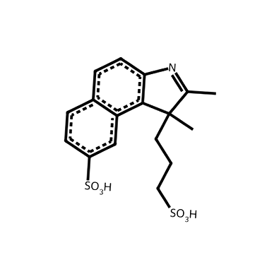 CC1=Nc2ccc3ccc(S(=O)(=O)O)cc3c2C1(C)CCCS(=O)(=O)O